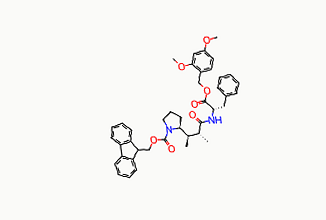 COc1ccc(COC(=O)[C@H](Cc2ccccc2)NC(=O)[C@H](C)[C@@H](C)[C@@H]2CCCN2C(=O)OCC2c3ccccc3-c3ccccc32)c(OC)c1